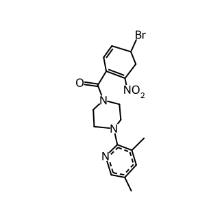 Cc1cnc(N2CCN(C(=O)C3=C([N+](=O)[O-])CC(Br)C=C3)CC2)c(C)c1